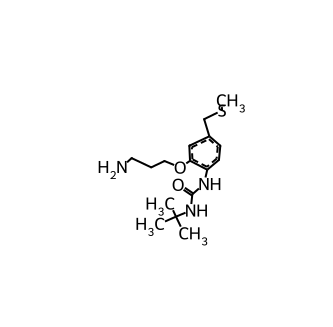 CSCc1ccc(NC(=O)NC(C)(C)C)c(OCCCN)c1